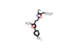 Cc1oc(-c2ccc(C(F)(F)F)cc2)cc1CCc1nc(C(C)C)c(CC(=O)O)o1